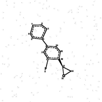 Fc1cc(-c2ccccc2)ccc1[C@H]1CO1